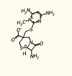 C[n+]1c(N)cc(N)nc1SCC1(C(=O)[O-])CS[C@@H]2C(N)C(=O)N2C1